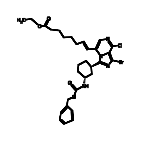 CCOC(=O)CCCCC/C=C/c1cnc(Cl)c2c(Br)nc([C@@H]3CCC[C@@H](NC(=O)OCc4ccccc4)C3)n12